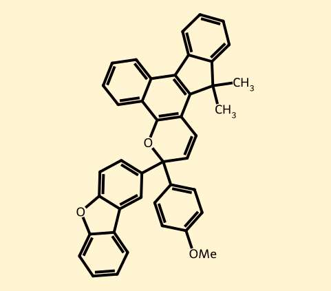 COc1ccc(C2(c3ccc4oc5ccccc5c4c3)C=Cc3c4c(c5ccccc5c3O2)-c2ccccc2C4(C)C)cc1